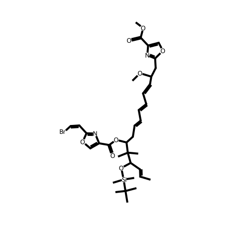 CC=CC(O[Si](C)(C)C(C)(C)C)C(C)(C)C(CC=CC=CC=CC(Cc1nc(C(=O)OC)co1)OC)OC(=O)c1coc(/C=C\Br)n1